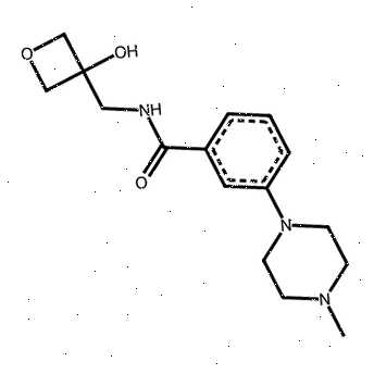 CN1CCN(c2cccc(C(=O)NCC3(O)COC3)c2)CC1